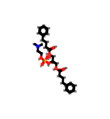 CN(C)CCOP(=O)(O)OC(COC(=O)CCCc1ccccc1)COC(=O)CCCc1ccccc1